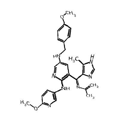 C=C(C)/N=C(/c1cc(NCc2ccc(OC)cc2)cnc1Nc1ccc(OC)nc1)c1nc[nH]c1C